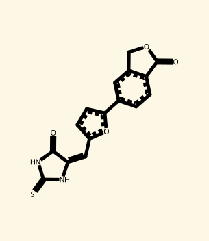 O=C1NC(=S)NC1=Cc1ccc(-c2ccc3c(c2)COC3=O)o1